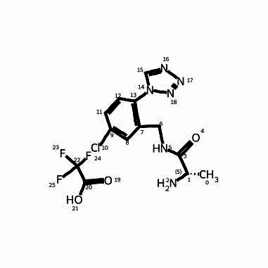 C[C@H](N)C(=O)NCc1cc(Cl)ccc1-n1cnnn1.O=C(O)C(F)(F)F